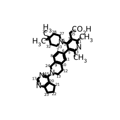 Cc1nc(C)c(-c2ccc3c(c2)CCN(c2ncnc4c2CCC4)C3)c(N2CCC(C)(C)CC2)c1CC(=O)O